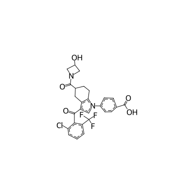 O=C(O)c1ccc(-n2cc(C(=O)c3c(Cl)cccc3C(F)(F)F)c3c2CCC(C(=O)N2CC(O)C2)C3)cc1